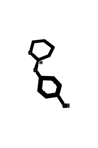 Oc1ccc(O[C@@H]2CCCCO2)cc1